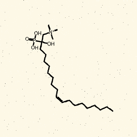 CCCCCCCC/C=C\CCCCCCCCC(O)(C[N+](C)(C)C)P(=O)(O)O